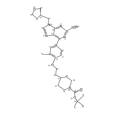 Cc1cc(-c2nc(C#N)nc3c2ncn3CC2CCOC2)ccc1OCCC1CCN(C(=O)OC(C)(C)C)CC1